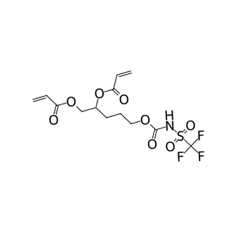 C=CC(=O)OCC(CCCOC(=O)NS(=O)(=O)C(F)(F)F)OC(=O)C=C